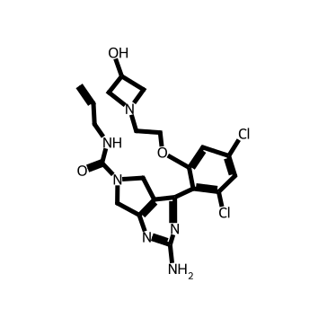 C=CCNC(=O)N1Cc2nc(N)nc(-c3c(Cl)cc(Cl)cc3OCCN3CC(O)C3)c2C1